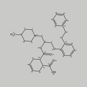 CC1CCN(CC(COc2ccccc2CCc2ccccc2)OC(=O)C2CC=CCC2C(=O)O)CC1